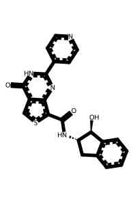 O=C(N[C@H]1Cc2ccccc2[C@@H]1O)c1scc2c(=O)[nH]c(-c3ccncc3)nc12